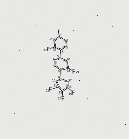 Cc1ccc(-c2ccc(-c3cc(F)c(F)c(F)c3)c(F)c2)c(F)c1